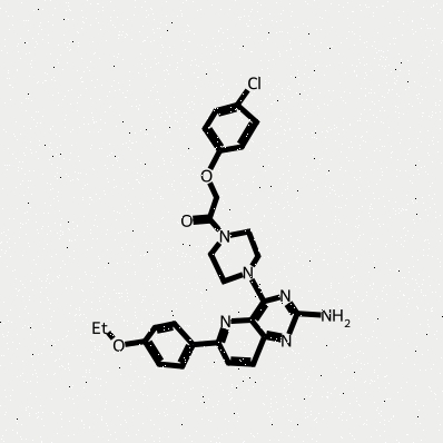 CCOc1ccc(-c2ccc3nc(N)nc(N4CCN(C(=O)COc5ccc(Cl)cc5)CC4)c3n2)cc1